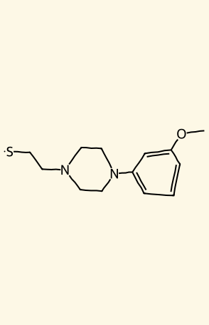 COc1cccc(N2CCN(CC[S])CC2)c1